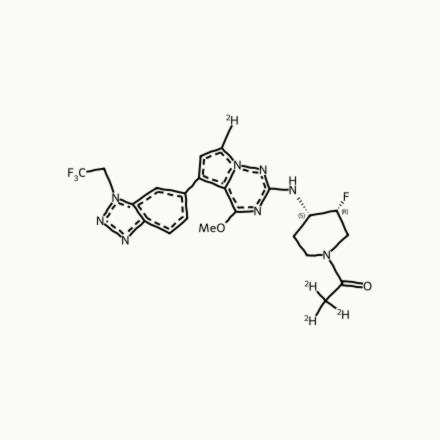 [2H]c1cc(-c2ccc3nnn(CC(F)(F)F)c3c2)c2c(OC)nc(N[C@H]3CCN(C(=O)C([2H])([2H])[2H])C[C@H]3F)nn12